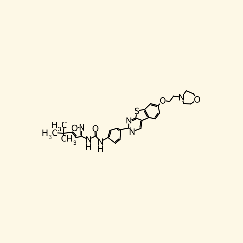 CC(C)(C)c1cc(NC(=O)Nc2ccc(-c3ncc4c(n3)sc3cc(OCCN5CCOCC5)ccc34)cc2)no1